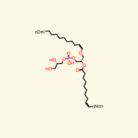 CCCCCCCCC/C=C\CCCCCCCC(=O)O[C@H](CO/C=C\CCCCCCCCCCCCCCCCCC)COP(=O)(O)OC[C@@H](O)CO